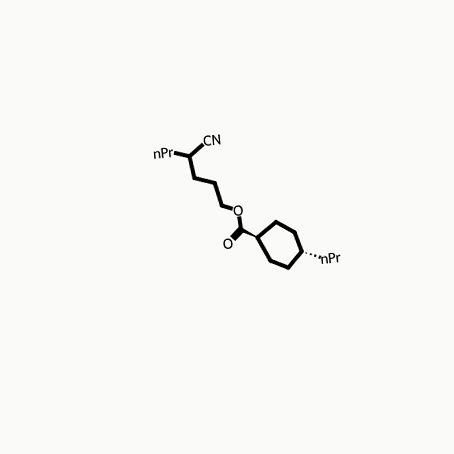 CCCC(C#N)CCCOC(=O)[C@H]1CC[C@H](CCC)CC1